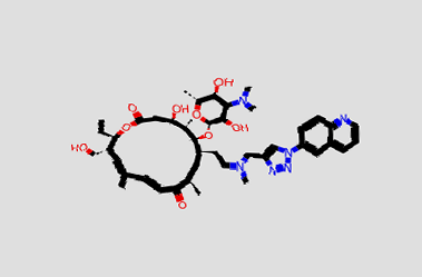 CC[C@H]1OC(=O)C[C@@H](O)[C@H](C)[C@@H](O[C@@H]2O[C@H](C)[C@@H](O)C(N(C)C)C2O)[C@@H](CCN(C)Cc2cn(-c3ccc4ncccc4c3)nn2)C[C@@H](C)C(=O)/C=C/C(C)=C/[C@@H]1CO